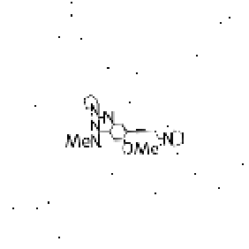 CNc1nc(N2CCCC2)nc2cc(C#CCCN3CCCC3)c(OC)cc12